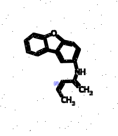 C=C(/C=C\C)Nc1ccc2oc3ccccc3c2c1